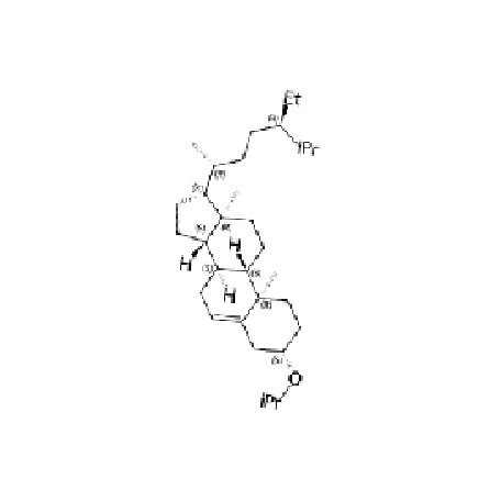 CC[C@H](CC[C@@H](C)[C@H]1CC[C@H]2[C@@H]3CC=C4C[C@@H](OC(C)C)CC[C@]4(C)[C@H]3CC[C@]12C)C(C)C